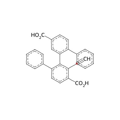 C#Cc1c(C(=O)O)ccc(-c2ccccc2)c1-c1cc(C(=O)O)ccc1-c1ccccc1